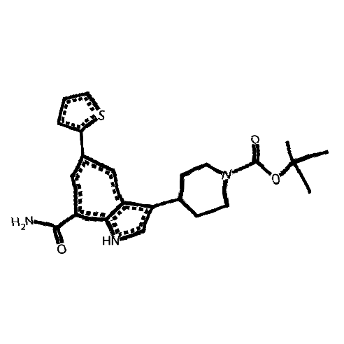 CC(C)(C)OC(=O)N1CCC(c2c[nH]c3c(C(N)=O)cc(-c4cccs4)cc23)CC1